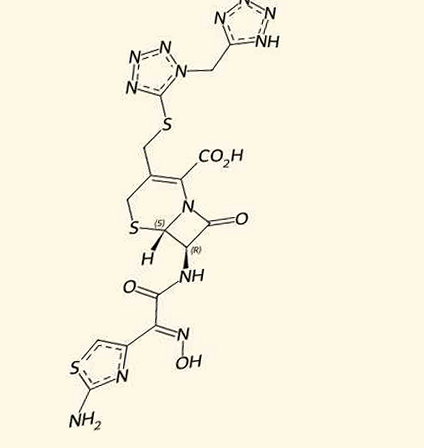 Nc1nc(C(=NO)C(=O)N[C@@H]2C(=O)N3C(C(=O)O)=C(CSc4nnnn4Cc4nnn[nH]4)CS[C@@H]23)cs1